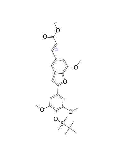 COC(=O)/C=C/c1cc(OC)c2oc(-c3cc(OC)c(O[Si](C)(C)C(C)(C)C)c(OC)c3)cc2c1